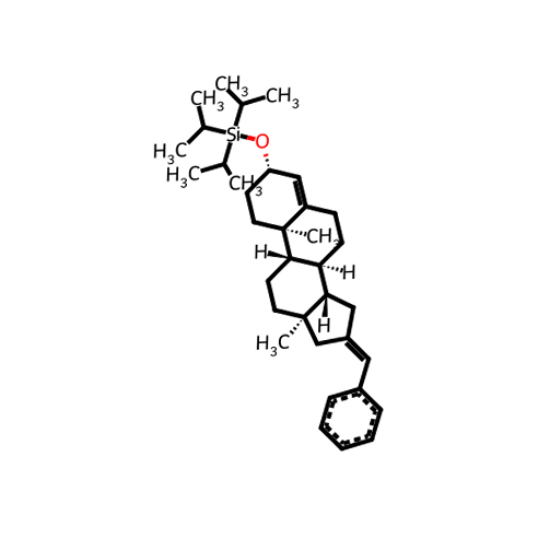 CC(C)[Si](O[C@@H]1C=C2CC[C@H]3[C@@H]4C/C(=C/c5ccccc5)C[C@@]4(C)CC[C@@H]3[C@@]2(C)CC1)(C(C)C)C(C)C